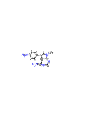 CC(C)n1cc(-c2ccc(N)cc2)c2c(N)ncnc21